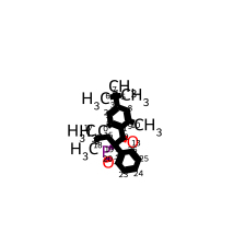 Cc1cc(C(C)(C)C)cc(C)c1C(=O)C(CC(C)C)(P=O)c1ccccc1